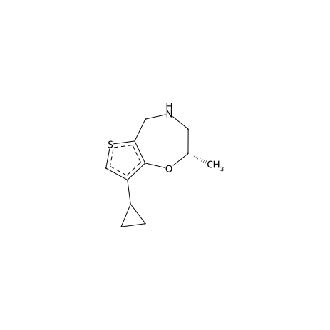 C[C@H]1CNCc2scc(C3CC3)c2O1